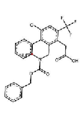 CCN(Cc1c(CC(=O)O)c(C(F)(F)F)cc(Cl)c1-c1ccccc1)C(=O)OCc1ccccc1